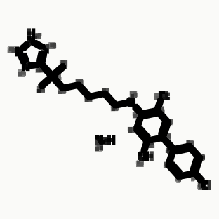 CCc1cc(-c2ccc(Cl)cc2)c(O)cc1OCCCCCC(C)(C)c1nn[nH]n1.[NaH]